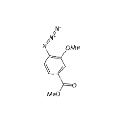 COC(=O)c1ccc(N=[N+]=[N-])c(OC)c1